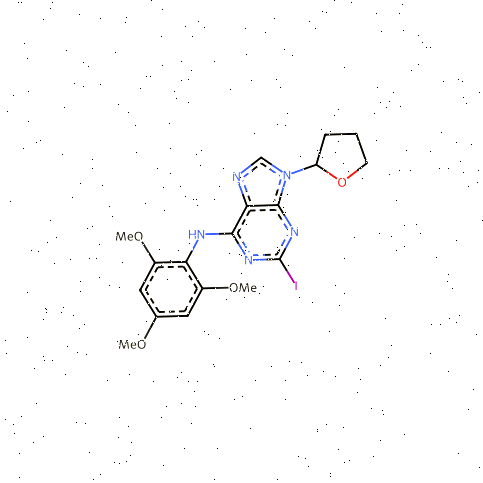 COc1cc(OC)c(Nc2nc(I)nc3c2ncn3C2CCCO2)c(OC)c1